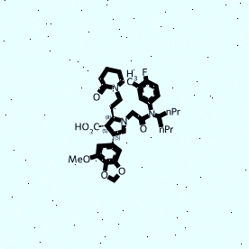 CCCC(CCC)N(C(=O)CN1C[C@H](c2cc(OC)c3c(c2)OCO3)[C@H](C(=O)O)[C@H]1CCN1CCCCC1=O)c1ccc(F)c(C)c1